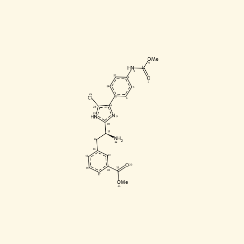 COC(=O)Nc1ccc(-c2nc([C@@H](N)Cc3cccc(C(=O)OC)c3)[nH]c2Cl)cc1